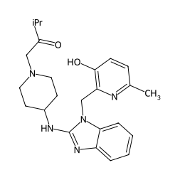 Cc1ccc(O)c(Cn2c(NC3CCN(CC(=O)C(C)C)CC3)nc3ccccc32)n1